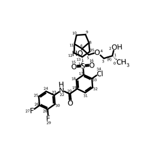 C[C@@H](O)COC[C@]1(O)C2CCC1C[C@@H](S(=O)(=O)c1cc(C(=O)Nc3ccc(F)c(F)c3)ccc1Cl)C2